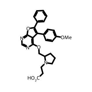 COc1ccc(-c2c(-c3ccccc3)oc3ncnc(OCC4CCCN4CCC(=O)O)c23)cc1